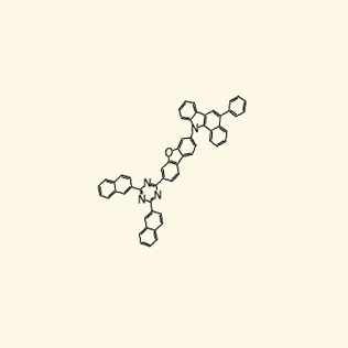 c1ccc(-c2cc3c4ccccc4n(-c4ccc5c(c4)oc4cc(-c6nc(-c7ccc8ccccc8c7)nc(-c7ccc8ccccc8c7)n6)ccc45)c3c3ccccc23)cc1